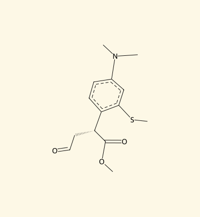 COC(=O)[C@H](CC=O)c1ccc(N(C)C)cc1SC